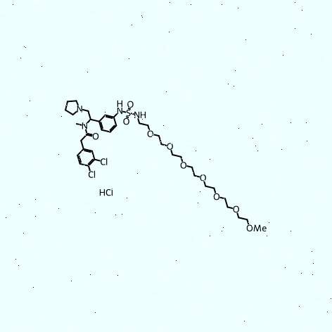 COCCOCCOCCOCCOCCOCCOCCNS(=O)(=O)Nc1cccc(C(CN2CCCC2)N(C)C(=O)Cc2ccc(Cl)c(Cl)c2)c1.Cl